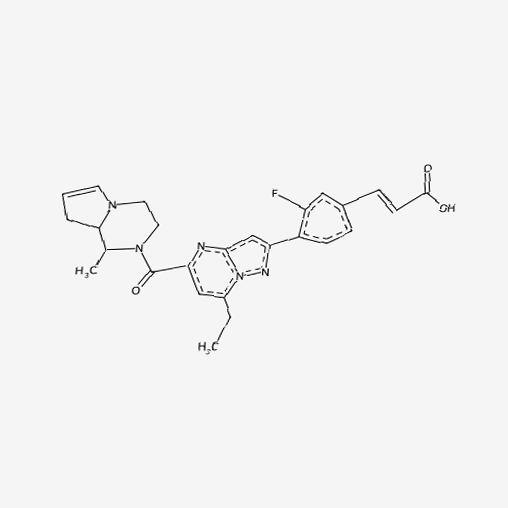 CCc1cc(C(=O)N2CCN3C=CCC3C2C)nc2cc(-c3ccc(/C=C/C(=O)O)cc3F)nn12